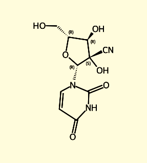 N#C[C@]1(O)[C@H](O)[C@@H](CO)O[C@H]1n1ccc(=O)[nH]c1=O